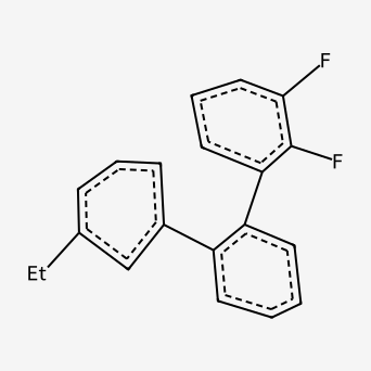 CCc1cccc(-c2ccccc2-c2cccc(F)c2F)c1